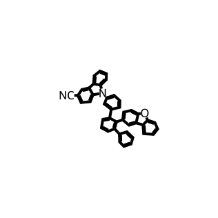 N#Cc1ccc2c(c1)c1ccccc1n2-c1cccc(-c2cccc(-c3ccccc3)c2-c2ccc3oc4ccccc4c3c2)c1